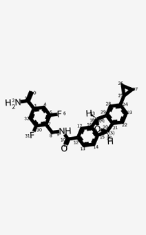 C=C(N)c1cc(F)c(CNC(=O)c2ccc3c(c2)[C@@H]2O[C@H]3c3ccc(C4CC4)cc32)c(F)c1